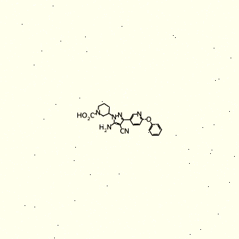 N#Cc1c(-c2ccc(Oc3ccccc3)nc2)nn(C2CCCN(C(=O)O)C2)c1N